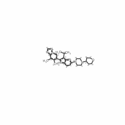 Cc1c(-c2[nH]c3ccc(N4CCN(C5CCOCC5)CC4)nc3c2C(C)C)cn2ncnc2c1C